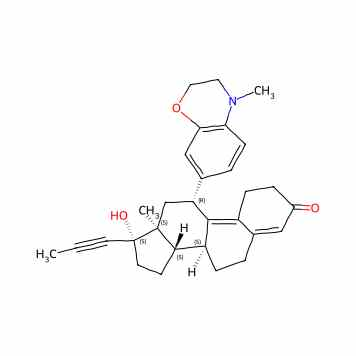 CC#C[C@]1(O)CC[C@H]2[C@@H]3CCC4=CC(=O)CCC4=C3[C@@H](c3ccc4c(c3)OCCN4C)C[C@@]21C